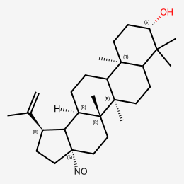 C=C(C)[C@@H]1CC[C@]2(N=O)CC[C@]3(C)[C@H](CCC4[C@@]5(C)CC[C@H](O)C(C)(C)C5CC[C@]43C)C12